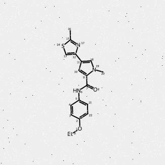 CCOc1ccc(NC(=O)c2cc(-c3csc(C)n3)cn2C)cc1